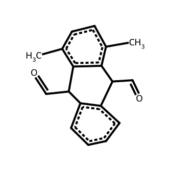 Cc1ccc(C)c2c1C(C=O)c1ccccc1C2C=O